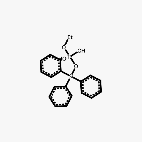 CC[O][Ti]([OH])([OH])[O][Si](c1ccccc1)(c1ccccc1)c1ccccc1